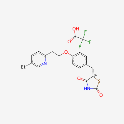 CCc1ccc(CCOc2ccc(C[C@@H]3SC(=O)NC3=O)cc2)nc1.O=C(O)C(F)(F)F